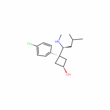 CN[C@@H](CC(C)C)[C@]1(c2ccc(Cl)cc2)C[C@H](O)C1